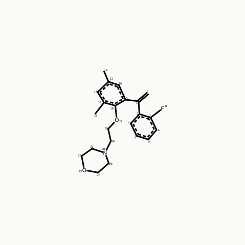 C=C(c1ccccc1F)c1cc(C)cc(C)c1OCCN1CCOCC1